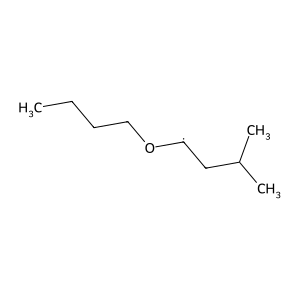 CCCCO[CH]CC(C)C